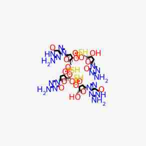 Nc1ncn([C@H]2CC(O)[C@@H](COP(=O)(S)OC3C[C@H](n4cnc5c(=O)[nH]c(N)nc54)O[C@@H]3COP(=O)(S)OC3C[C@H](n4cnc(N)nc4=O)O[C@@H]3COP(=O)(S)OC3C[C@H](n4cnc5c(=O)[nH]c(N)nc54)O[C@@H]3CO)O2)c(=O)n1